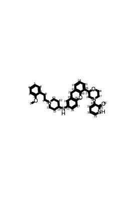 COc1ccccc1CCN1CCC(Nc2ccc3c(c2)Cc2cccc(C4CN(c5ccc[nH]c5=O)CCO4)c2O3)CC1